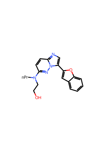 CCCN(CCO)c1ccc2ncc(-c3cc4ccccc4o3)n2n1